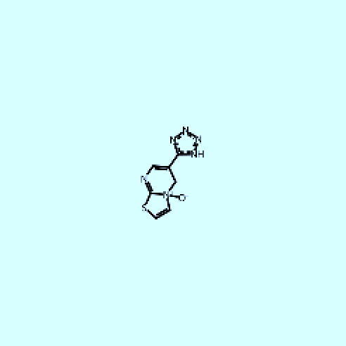 [O-][N+]12C=CSC1=NC=C(c1nnn[nH]1)C2